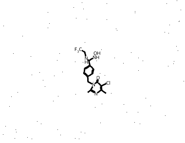 Cc1nc(C)n(Cc2ccc(C(NO)NCC(F)(F)F)cc2)c(=O)c1Cl